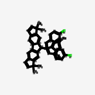 CC1C=C(C(C)(C)C)C=[C]1[Zr](=[CH]c1ccc(Cl)cc1)(=[CH]c1ccc(Cl)cc1)[CH]1c2cc3c(cc2-c2cc4c(cc21)C(C)(C)C=C4)C=CC3(C)C